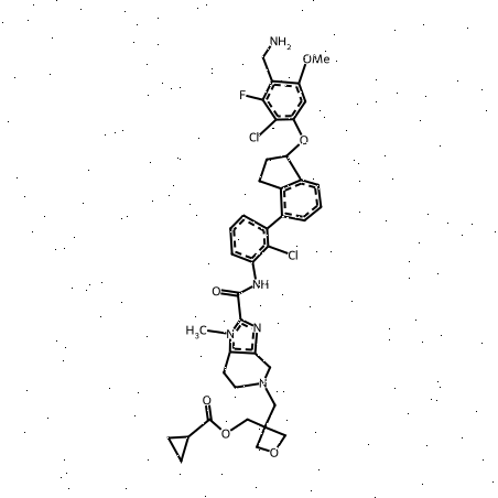 COc1cc(OC2CCc3c(-c4cccc(NC(=O)c5nc6c(n5C)CCN(CC5(COC(=O)C7CC7)COC5)C6)c4Cl)cccc32)c(Cl)c(F)c1CN